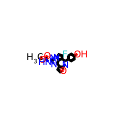 COC(=O)Nc1nc2c3c(ccn3n1)C(c1ccc(O)cc1F)=Nc1occc1-2